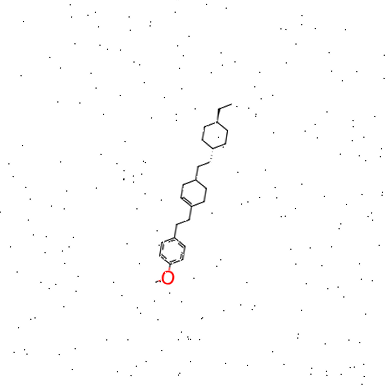 CC[C@H]1CC[C@H](CCC2CC=C(CCc3ccc(OC)cc3)CC2)CC1